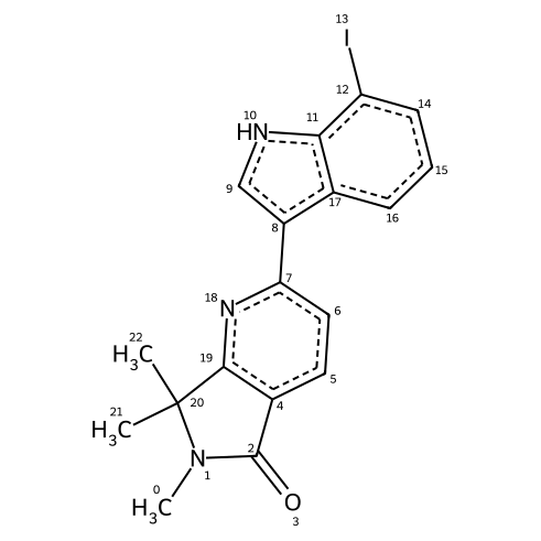 CN1C(=O)c2ccc(-c3c[nH]c4c(I)cccc34)nc2C1(C)C